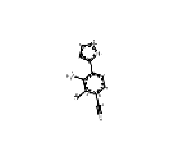 Cc1c(-c2cc[nH]n2)ccc(C#N)c1Cl